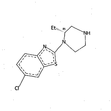 CC[C@@H]1CNCCN1c1nc2ccc(Cl)cc2s1